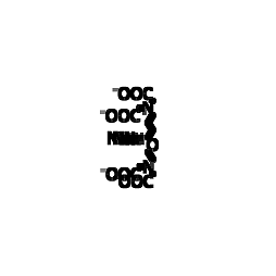 O=C([O-])CN(CCCCOCCN(CC(=O)[O-])CC(=O)[O-])CC(=O)[O-].[Na+].[Na+].[Na+].[Na+]